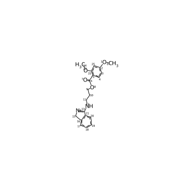 COc1ccc(C(=O)OCCCNC2=NCc3ccccc32)c(OC)c1